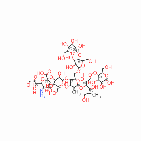 CC(CO)[C@H](O)C(O[C@@H]1OC(CO[C@@H]2OC(CO)[C@@H](O[C@@H]3OC(CO)[C@H](O)C(O)[C@@H]3O)C(O)[C@@H]2O)[C@@H](O[C@@H]2O[C@@H](CO)[C@H](O)C(O[C@]3(C(=O)O)C[C@@H](O)[C@@H](N)C([C@H](O)[C@H](O)CO)O3)C2O)C(O)[C@@H]1C)[C@H](O)COO[C@@H]1C(CO)O[C@@H](O)[C@@H](O)C1O